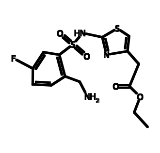 CCOC(=O)Cc1csc(NS(=O)(=O)c2cc(F)ccc2CN)n1